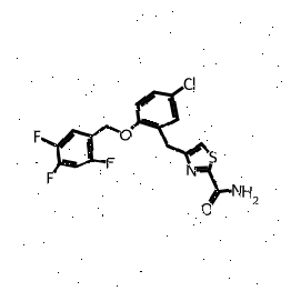 NC(=O)c1nc(Cc2cc(Cl)ccc2OCc2cc(F)c(F)cc2F)cs1